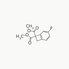 COC(=O)C1(C(=O)OC)Cc2ccc(F)cc21